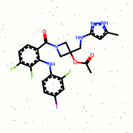 CC(=O)OC1(CNc2cc(C)[nH]n2)CN(C(=O)c2ccc(F)c(F)c2Nc2ccc(I)cc2F)C1